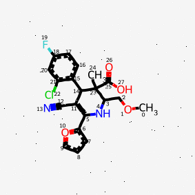 COCC1NC(c2ccco2)=C(C#N)C(c2ccc(F)cc2Cl)C1(C)C(=O)O